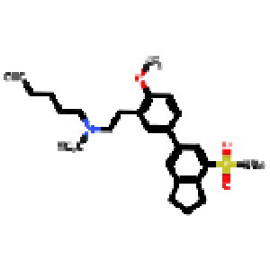 CNS(=O)(=O)c1cc(-c2ccc(OC(F)(F)F)c(CCN(CCCCC=O)C(=O)O)c2)cc2c1CCC2